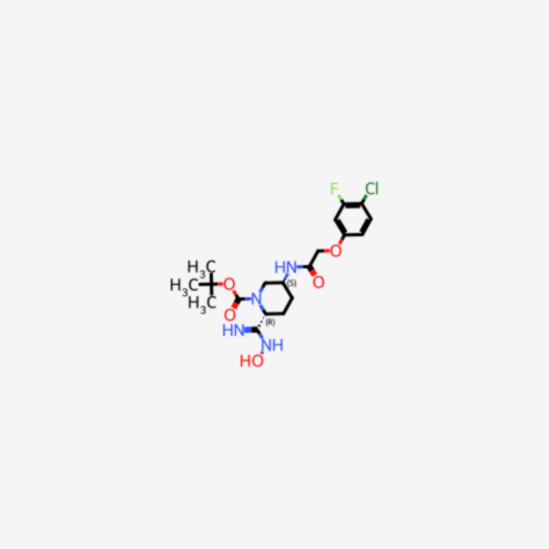 CC(C)(C)OC(=O)N1C[C@@H](NC(=O)COc2ccc(Cl)c(F)c2)CC[C@@H]1C(=N)NO